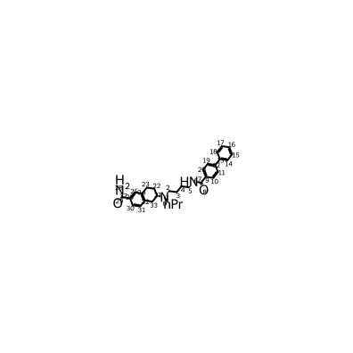 CCCN(CCCCNC(=O)c1ccc(-c2ccccc2)cc1)[C@@H]1CCc2cc(C(N)=O)ccc2C1